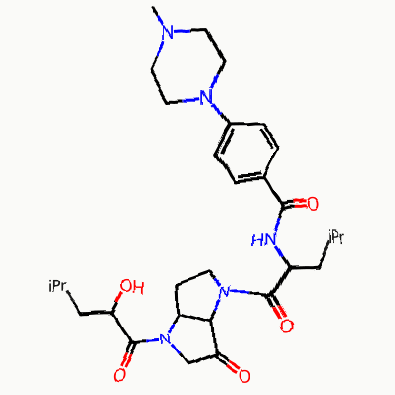 CC(C)CC(O)C(=O)N1CC(=O)C2C1CCN2C(=O)C(CC(C)C)NC(=O)c1ccc(N2CCN(C)CC2)cc1